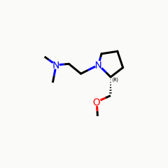 COC[C@H]1CCCN1CCN(C)C